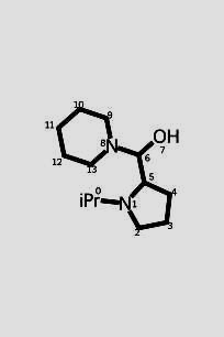 CC(C)N1CCCC1C(O)N1CCCCC1